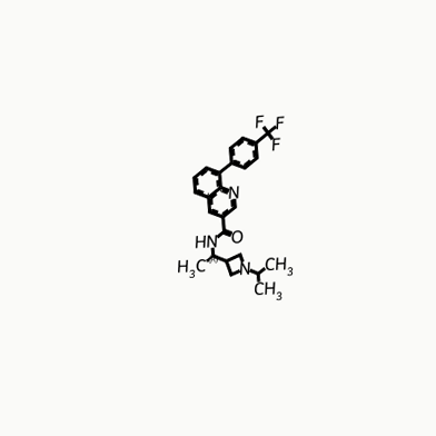 CC(C)N1CC([C@@H](C)NC(=O)c2cnc3c(-c4ccc(C(F)(F)F)cc4)cccc3c2)C1